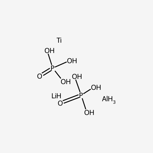 O=P(O)(O)O.O=P(O)(O)O.[AlH3].[LiH].[Ti]